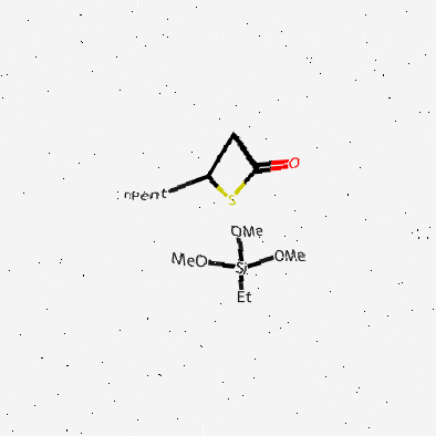 CCCCCC1CC(=O)S1.CC[Si](OC)(OC)OC